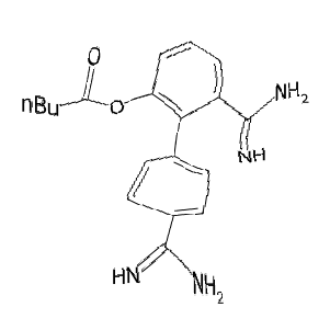 CCCCC(=O)Oc1cccc(C(=N)N)c1-c1ccc(C(=N)N)cc1